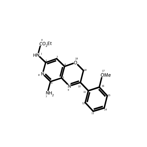 CCOC(=O)Nc1cc2c(c(N)n1)N=C(c1ccccc1OC)CO2